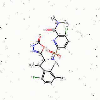 Cc1ccc(F)c([C@@H](C)[C@@H](NS(=O)(=O)c2ccc(Cl)c(C(=O)N(C)C)n2)c2n[nH]c(=O)o2)c1C